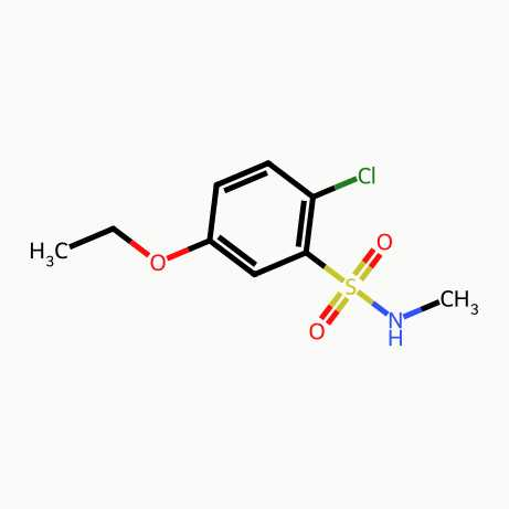 CCOc1ccc(Cl)c(S(=O)(=O)NC)c1